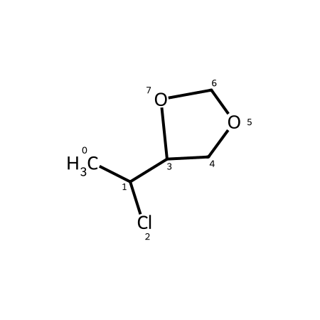 CC(Cl)C1COCO1